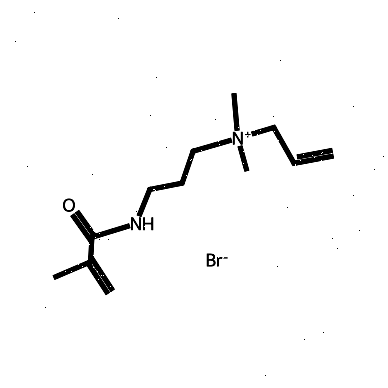 C=CC[N+](C)(C)CCCNC(=O)C(=C)C.[Br-]